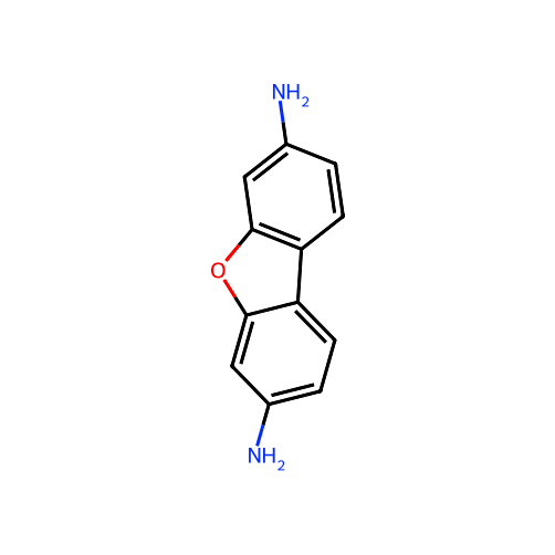 Nc1ccc2c(c1)oc1cc(N)ccc12